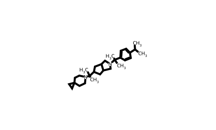 CC(C)c1ccc(C(C)(C)N2CC3CC(C(C)(C)N4CCC5(CC4)CC5)CC3C2)cc1